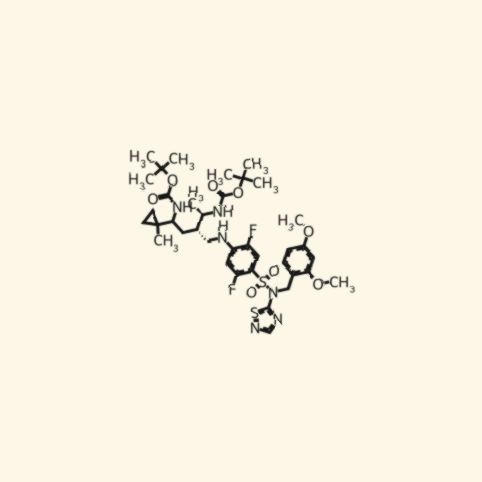 COc1ccc(CN(c2ncns2)S(=O)(=O)c2cc(F)c(NC[C@H](CC(NC(=O)OC(C)(C)C)C3(C)CC3)[C@@H](C)NC(=O)OC(C)(C)C)cc2F)c(OC)c1